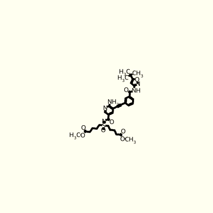 COC(=O)CCCCS(=O)(CCCCC(=O)OC)=NC(=O)c1cnc(N)c(C#Cc2cccc(C(=O)Nc3cc(C(C)(C)C)on3)c2)c1